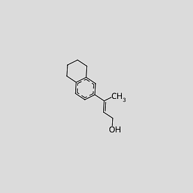 C/C(=C\CO)c1ccc2c(c1)CCCC2